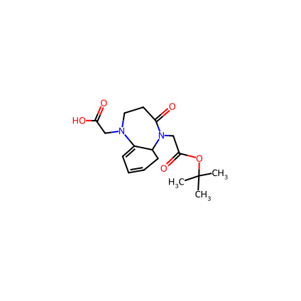 CC(C)(C)OC(=O)CN1C(=O)CCN(CC(=O)O)C2=CC=CCC21